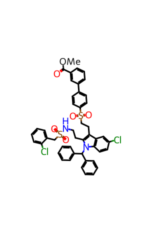 COC(=O)c1cccc(-c2ccc(S(=O)(=O)CCc3c(CCNS(=O)(=O)Cc4ccccc4Cl)n(C(c4ccccc4)c4ccccc4)c4ccc(Cl)cc34)cc2)c1